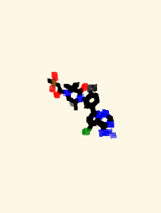 C[C@H]1CN(C(=O)CS(C)(=O)=O)C(C)(C)C(=O)N1c1cc(-c2cc(Cl)c3c(N)ncnn23)ccc1C#N